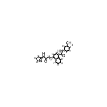 Cc1cccc(NC(=O)c2ccc(OCC(=O)NC3=NCCS3)c3ccccc23)c1